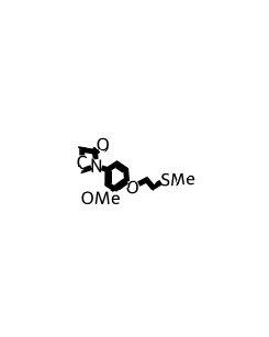 COc1cc(N2CCCC2=O)ccc1OCCSC